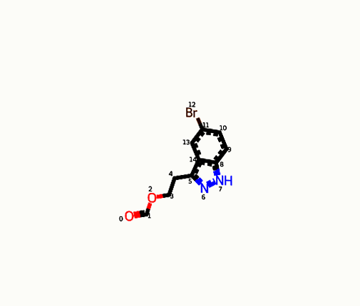 O=COCCc1n[nH]c2ccc(Br)cc12